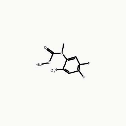 CN(C(=O)OC(C)(C)C)c1cc(F)c(F)cc1[N+](=O)[O-]